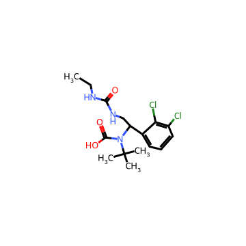 CCNC(=O)NCC(c1cccc(Cl)c1Cl)N(C(=O)O)C(C)(C)C